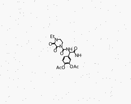 CCN1CCN(C(=O)NC(C([NH])=O)c2ccc(OC(C)=O)c(OC(C)=O)c2)C(=O)C1=O